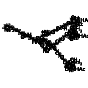 CCO[C@@H]1[C@@H](NC(C)=O)[C@H]2OC[C@](COCCOCCOCCOCCn3cc(COCC(COCc4cn(CCOCCOCCOCCOC[C@@]56CO[C@@H](O5)[C@H](NC(C)=O)[C@H]5OC(C)(C)O[C@H]56)nn4)(COCc4cn(CCOCCOCCOCCOC[C@@]56CO[C@@H](O5)[C@H](NC(C)=O)[C@H]5OC(C)(C)O[C@H]56)nn4)NC(=O)CCCCCNC(=O)CCCCCSSc4ccccn4)nn3)(O2)[C@@H]1OCC